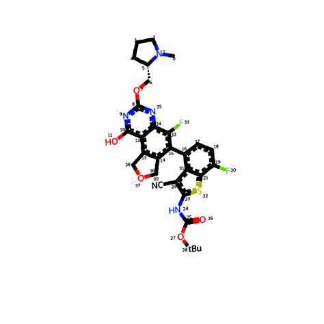 CN1CCC[C@H]1COc1nc(O)c2c3c(c(-c4ccc(F)c5sc(NC(=O)OC(C)(C)C)c(C#N)c45)c(F)c2n1)COC3